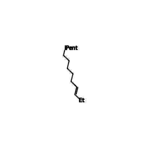 [CH2]C/C=C/CCCCCC(C)CC[CH2]